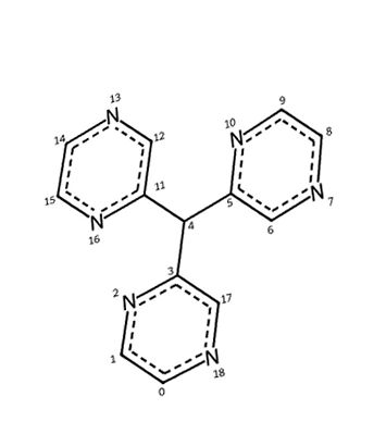 c1cnc(C(c2cnccn2)c2cnccn2)cn1